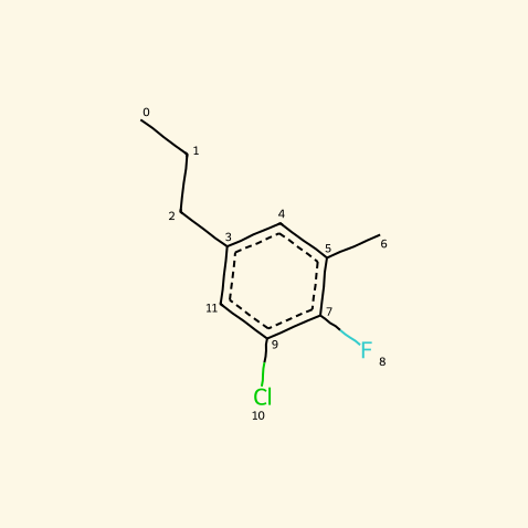 CCCc1cc(C)c(F)c(Cl)c1